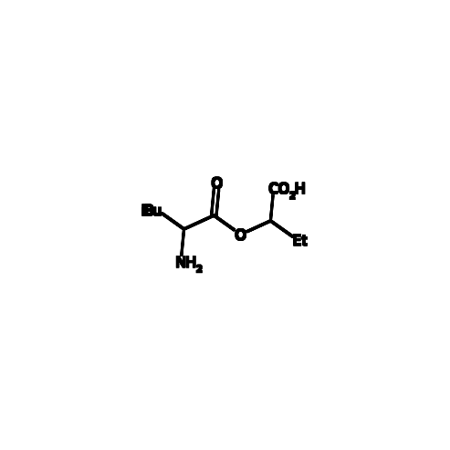 CCC(OC(=O)C(N)C(C)CC)C(=O)O